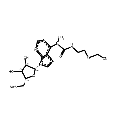 CSC[C@H]1O[C@@H](n2cnc3c(N(C)C(=O)NCCOCC#N)ncnc32)[C@H](O)[C@@H]1O